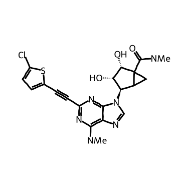 CNC(=O)C12CC1[C@@H](n1cnc3c(NC)nc(C#Cc4ccc(Cl)s4)nc31)[C@H](O)[C@@H]2O